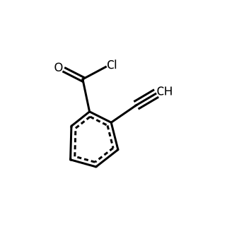 C#Cc1ccccc1C(=O)Cl